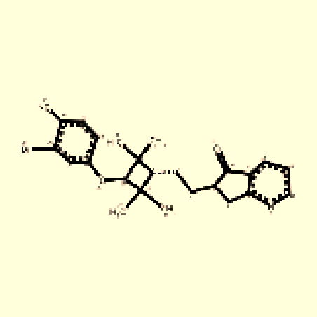 CC1(C)[C@H](CCC2Cc3ncccc3C2=O)C(C)(C)[C@H]1Oc1ccc(C#N)c(Br)c1